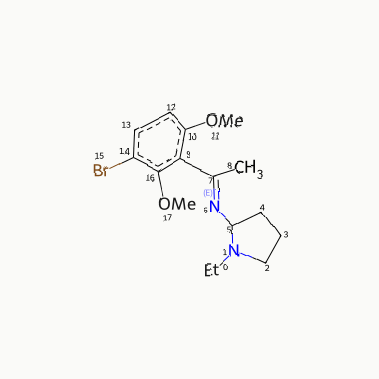 CCN1CCCC1/N=C(\C)c1c(OC)ccc(Br)c1OC